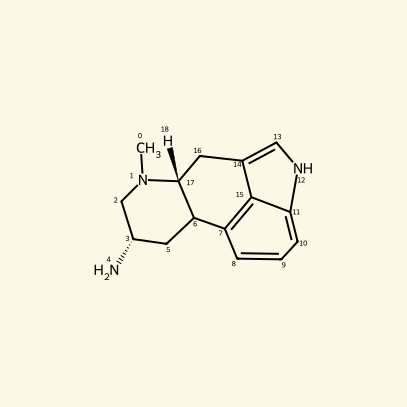 CN1C[C@@H](N)CC2c3cccc4[nH]cc(c34)C[C@H]21